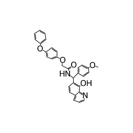 COc1ccc(C(NC(=O)COc2ccc(Oc3ccccc3)cc2)c2ccc3cccnc3c2O)cc1